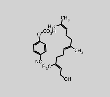 CC(C)=CCCC(C)=CCCC(C)=CCO.O=C(O)Oc1ccc([N+](=O)[O-])cc1